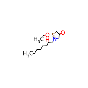 CCCCCCCCN1CC(=O)CS1.CCO